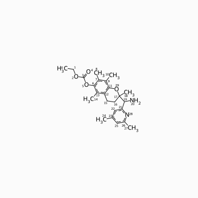 CCOC(=O)Oc1c(C)c(C)c2c(c1C)CCC(C)(C(N)c1cc(C)cc(C)n1)O2